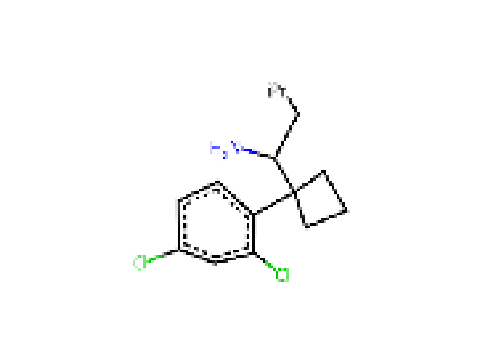 CC(C)CC(N)C1(c2ccc(Cl)cc2Cl)CCC1